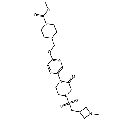 COC(=O)N1CCC(COc2cnc(N3CCN(S(=O)(=O)CC4CN(C)C4)CC3=O)cn2)CC1